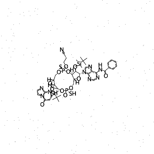 CC(C)(C)[Si](C)(C)O[C@@H]1[C@@H]2OP(=S)(OCCC#N)OC[C@H]3O[C@@H](n4ccc(=O)n5ccnc45)[C@H](OP(=O)(S)OC[C@H]2O[C@H]1n1cnc2c(NC(=O)c4ccccc4)ncnc21)[C@@H]3O[Si](C)(C)C(C)(C)C